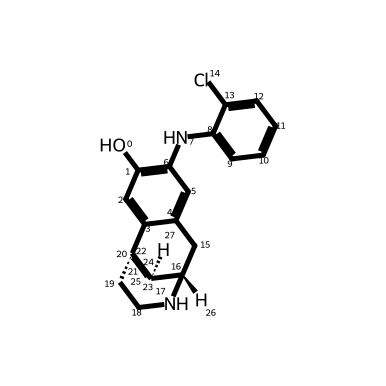 Oc1cc2c(cc1Nc1ccccc1Cl)C[C@@H]1NCC[C@]23CCCC[C@H]13